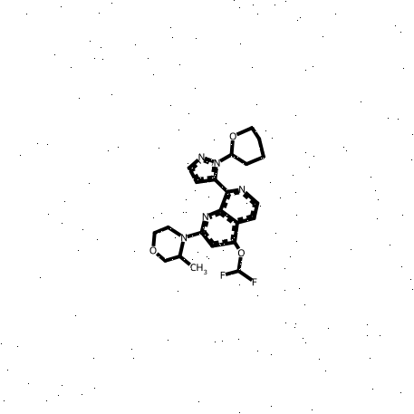 CC1COCCN1c1cc(OC(F)F)c2ccnc(-c3ccnn3C3CCCCO3)c2n1